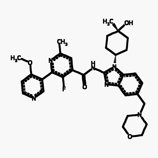 COc1ccncc1-c1nc(C)cc(C(=O)Nc2nc3cc(CN4CCOCC4)ccc3n2[C@H]2CC[C@@](C)(O)CC2)c1F